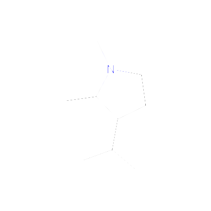 CC(C)C1CCN(C)C1C